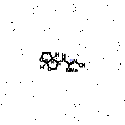 CN/C(=N\C#N)N[C@@H]1CO[C@H]2OCC[C@H]21